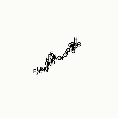 O=C1CCN(N2C(=O)c3ccc(N4CCC(CN5CCC(n6cc(NC(=O)c7coc(-c8ccnc(NCC(F)(F)F)c8)n7)c(C(F)F)n6)CC5)CC4)cc3C2=O)C(=O)N1